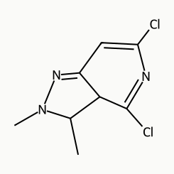 CC1C2C(Cl)=NC(Cl)=CC2=NN1C